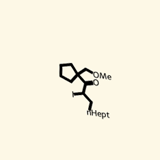 CCCCCCCCC(I)C(=O)C1(COC)CCCC1